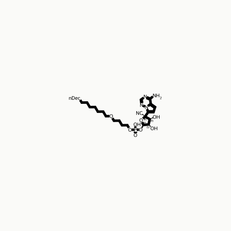 CCCCCCCCCCCCCCCCCOCCCCOP(=O)(O)O[C@H]1O[C@@](C#N)(c2ccc3c(N)ncnn23)[C@H](O)[C@@H]1O